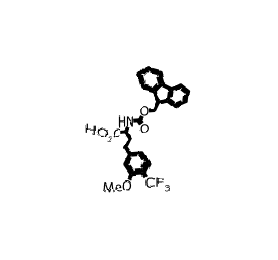 COc1cc(CCC(NC(=O)OCC2c3ccccc3-c3ccccc32)C(=O)O)ccc1C(F)(F)F